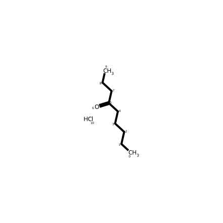 CCCCCC(=O)CCC.Cl